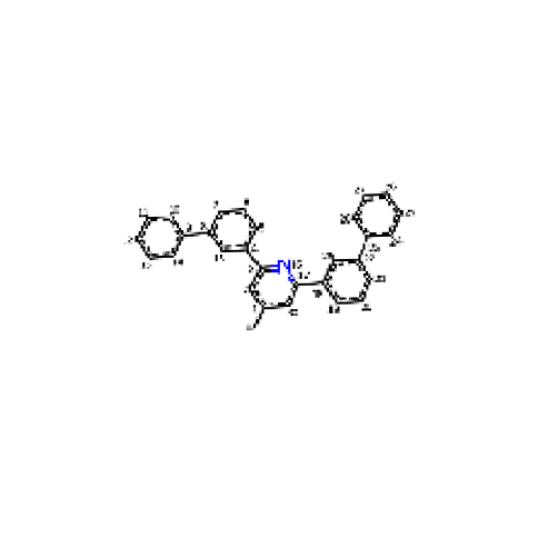 Cc1cc(-c2cccc(-c3ccccc3)c2)nc(-c2cccc(-c3ccccc3)c2)c1